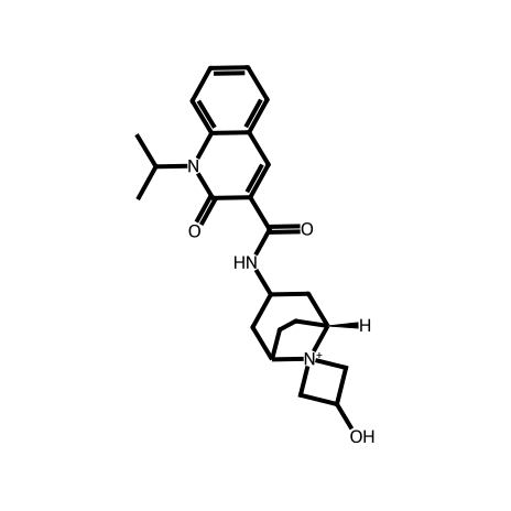 CC(C)n1c(=O)c(C(=O)NC2CC3CC[C@H](C2)[N+]32CC(O)C2)cc2ccccc21